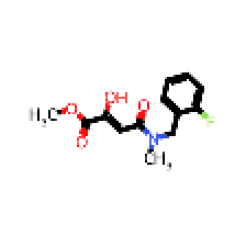 COC(=O)/C(O)=C/C(=O)N(C)Cc1ccccc1F